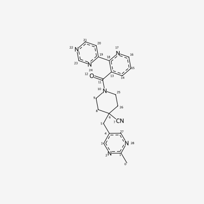 Cc1ncc(CC2(C#N)CCN(C(=O)c3cccnc3-c3ccncn3)CC2)cn1